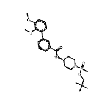 COc1cccc(-c2cccc(C(=O)NC3CCN(P(C)(=O)OCC(C)(C)C)CC3)c2)c1OC